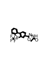 O=C1COC(c2ccc(-c3ccccc3OC(F)(F)F)c(F)c2)=NN1